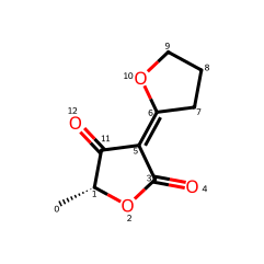 C[C@H]1OC(=O)/C(=C2\CCCO2)C1=O